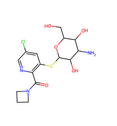 NC1C(O)C(CO)OC(Sc2cc(Cl)cnc2C(=O)N2CCC2)C1O